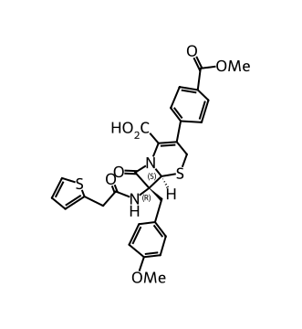 COC(=O)c1ccc(C2=C(C(=O)O)N3C(=O)[C@@](Cc4ccc(OC)cc4)(NC(=O)Cc4cccs4)[C@@H]3SC2)cc1